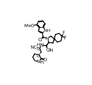 COc1cccc2[nH]c(C(=O)N3CC4(CCC(F)(F)CC4)CC3C(O)N[C@H](C#N)C[C@@H]3CCCNC3=O)cc12